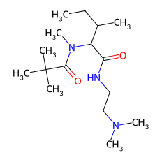 CCC(C)C(C(=O)NCCN(C)C)N(C)C(=O)C(C)(C)C